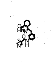 O=C(Nc1cccc(Cc2n[nH]c(=O)c3c2CCCC3)c1)c1cncs1